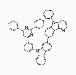 c1ccc(-c2cc(-c3cccc(-n4c5ccccc5c5ccc(-c6ccc7c(c6)c6ncccc6n7-c6ccccc6)cc54)c3)nc(-c3ccccc3)n2)cc1